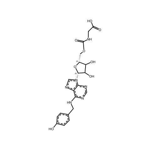 O=C(O)CNC(=O)OC[C@H]1O[C@@H](n2cnc3c(NCc4ccc(O)cc4)ncnc32)C(O)C1O